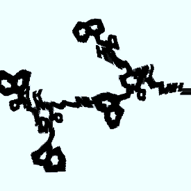 NCCCC[C@H]1N[C@H](CNC(=O)Cc2cccc3ccccc23)CCN(Cc2cccc3ccccc23)C1=O.NCCCC[C@H]1N[C@H](CNC(=O)c2cccc3ccccc23)CCN(Cc2cccc3ccccc23)C1=O